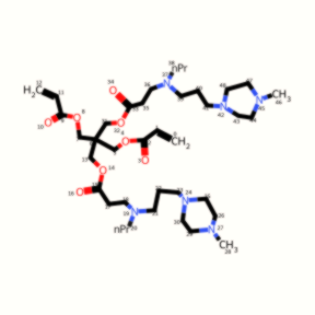 C=CC(=O)OCC(COC(=O)C=C)(COC(=O)CCN(CCC)CCCN1CCN(C)CC1)COC(=O)CCN(CCC)CCCN1CCN(C)CC1